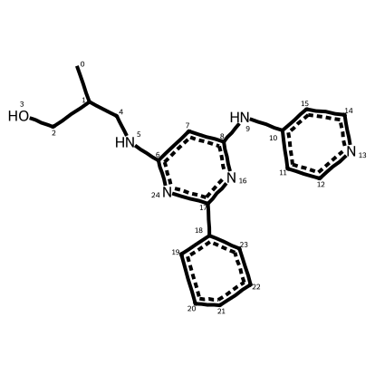 CC(CO)CNc1cc(Nc2ccncc2)nc(-c2ccccc2)n1